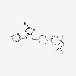 O=C(OC(C(F)(F)F)C(F)(F)F)N1CCN(Cc2ccc(Br)cc2Oc2ccccc2)CC1